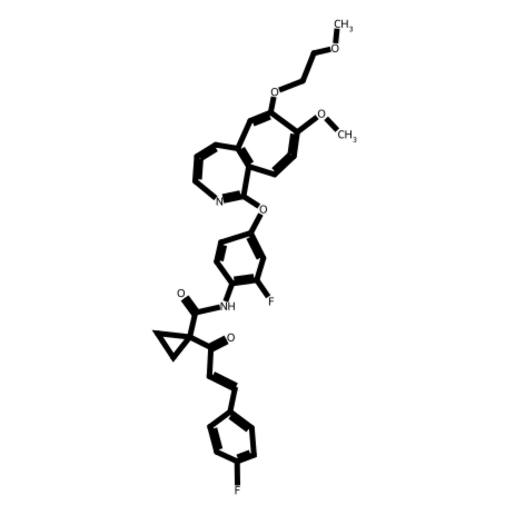 COCCOC1=CC2=C(C=C=C1OC)C(Oc1ccc(NC(=O)C3(C(=O)/C=C/c4ccc(F)cc4)CC3)c(F)c1)=NC=C=C2